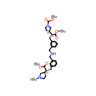 CCCCN1CC[C@H]([C@H](Cc2cccc(CNCc3cccc(C[C@H](C(=O)OC(C)(C)C)[C@H]4CCN(C(=O)OC(C)(C)C)C4)c3)c2)C(=O)OC(C)(C)C)C1